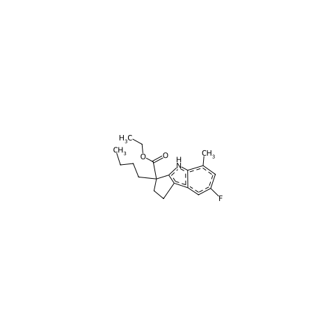 CCCCC1(C(=O)OCC)CCc2c1[nH]c1c(C)cc(F)cc21